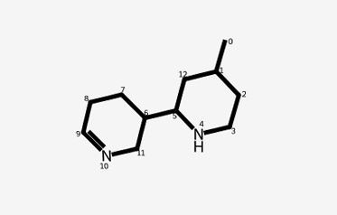 CC1CCNC(C2CCC=NC2)C1